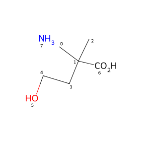 CC(C)(CCO)C(=O)O.N